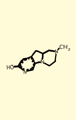 CN1CCN2c3cnc(O)cc3CC2C1